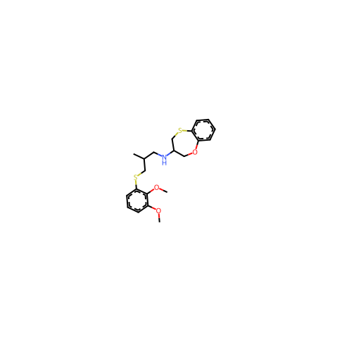 COc1cccc(SCC(C)CNC2COc3ccccc3SC2)c1OC